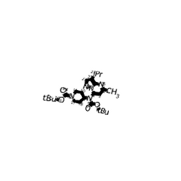 Cc1cc(N(C(=O)OC(C)(C)C)C2CCN(C(=O)OC(C)(C)C)CC2)n2ncc(C(C)C)c2n1